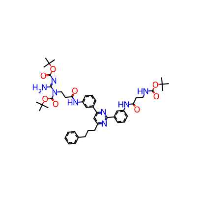 CC(C)(C)OC(=O)N=C(N)N(CCC(=O)Nc1cccc(-c2cc(CCCc3ccccc3)nc(-c3cccc(NC(=O)CCNC(=O)OC(C)(C)C)c3)n2)c1)C(=O)OC(C)(C)C